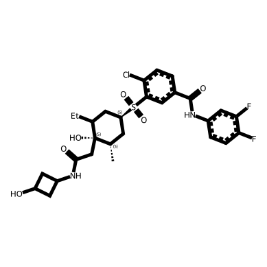 CCC1C[C@@H](S(=O)(=O)c2cc(C(=O)Nc3ccc(F)c(F)c3)ccc2Cl)C[C@H](C)[C@@]1(O)CC(=O)NC1CC(O)C1